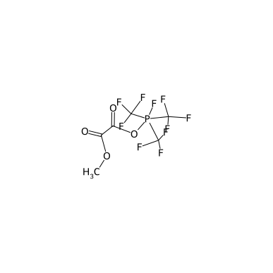 COC(=O)C(=O)OP(F)(C(F)(F)F)(C(F)(F)F)C(F)(F)F